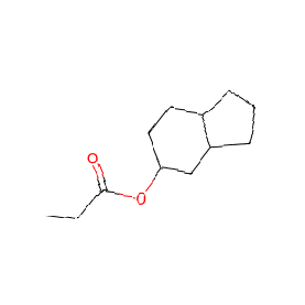 CCC(=O)OC1CCC2CCCC2C1